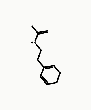 C=C(C)NCCC1=CCCC=C1